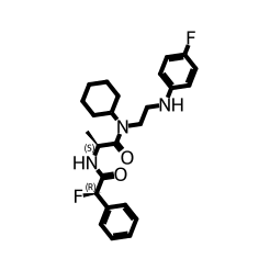 C[C@H](NC(=O)[C@H](F)c1ccccc1)C(=O)N(CCNc1ccc(F)cc1)C1CCCCC1